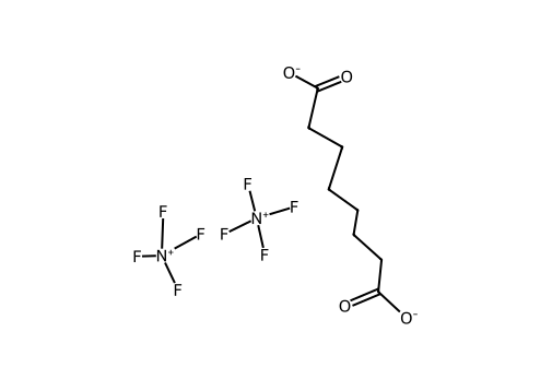 F[N+](F)(F)F.F[N+](F)(F)F.O=C([O-])CCCCCCC(=O)[O-]